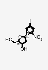 O=[N+]([O-])c1cc(I)cn1[C@H]1CC(O)[C@@H](CO)O1